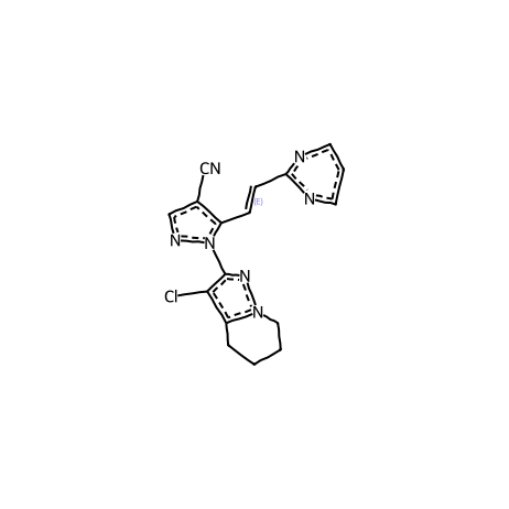 N#Cc1cnn(-c2nn3c(c2Cl)CCCC3)c1/C=C/c1ncccn1